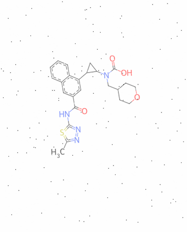 Cc1nnc(NC(=O)c2cc(C3CC3N(CC3CCOCC3)C(=O)O)c3ccccc3c2)s1